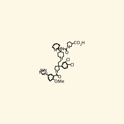 COc1ccc(-n2cnnn2)cc1C(=O)N1CCC(CCN2CCC(NC(=O)N3CCC(C(=O)O)C3)(c3ccccn3)CC2)(c2ccc(Cl)c(Cl)c2)C1